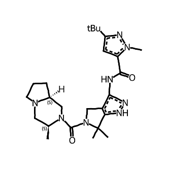 C[C@H]1CN2CCC[C@H]2CN1C(=O)N1Cc2c(NC(=O)c3cc(C(C)(C)C)nn3C)n[nH]c2C1(C)C